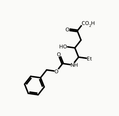 CCC(NC(=O)OCc1ccccc1)C(O)CC(=O)C(=O)O